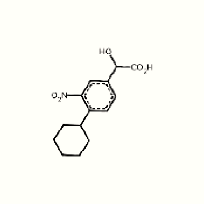 O=C(O)C(O)c1ccc(C2CCCCC2)c([N+](=O)[O-])c1